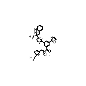 Cc1nc(CN(C)C(=O)c2cc(-c3ncco3)cc(-c3nnc(C(C)(N)Cc4ccccc4)o3)c2)cs1